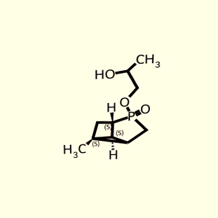 CC(O)COP1(=O)CC2[C@@H]3[C@@H]1C[C@@]23C